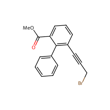 COC(=O)c1cccc(C#CCBr)c1-c1ccccc1